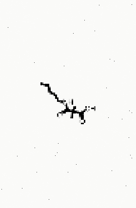 CCCCCNC(=O)C(C)(C)C(=O)O